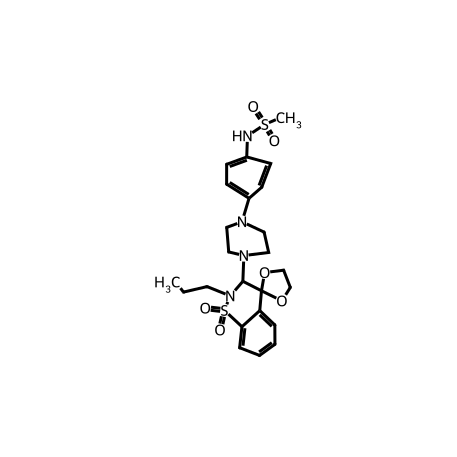 CCCN1C(N2CCN(c3ccc(NS(C)(=O)=O)cc3)CC2)C2(OCCO2)c2ccccc2S1(=O)=O